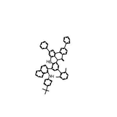 C=C1c2ccc(-c3ccccc3)cc2-c2cc(-c3ccccc3)cc3c2C1c1cc(-c2c(C)cccc2C)cc(-c2ccc4ccccc4c2Nc2ccc(C(C)(C)C)cc2)c1B3